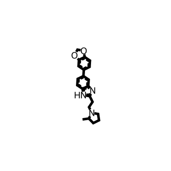 CC1CCCN1CCc1nc2cc(-c3ccc4c(c3)OCO4)ccc2[nH]1